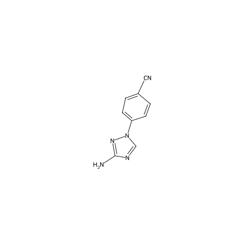 N#Cc1ccc(-n2cnc(N)n2)cc1